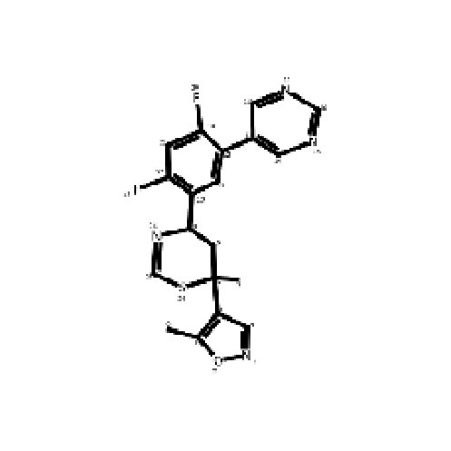 Cc1oncc1C1(C)CC(c2cc(-c3cncnc3)c(F)cc2F)N=CS1